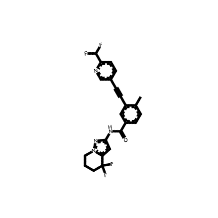 Cc1ccc(C(=O)Nc2cc3n(n2)CCCC3(F)F)cc1C#Cc1ccc(C(F)F)nc1